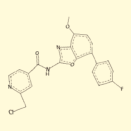 COc1ccc(-c2ccc(F)cc2)c2oc(NC(=O)c3ccnc(CCl)c3)nc12